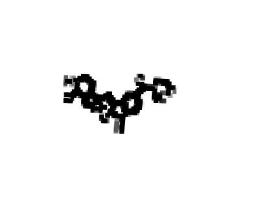 O=C1Nc2ccc(C(=O)N3CCOCC3)cc2C1=Cc1[nH]cc2c1CCNC2=O